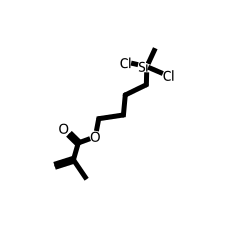 C=C(C)C(=O)OCCCC[Si](C)(Cl)Cl